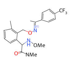 CNC(=O)C(NOC)c1cccc(C)c1CO/N=C(\C)c1ccc(C(F)(F)F)cc1